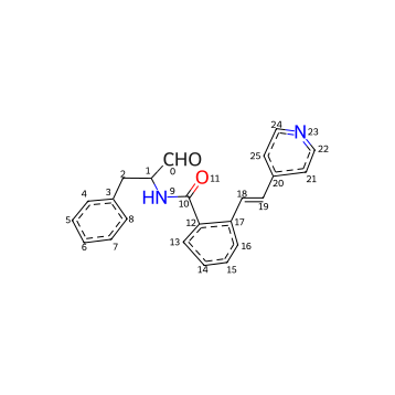 O=CC(Cc1ccccc1)NC(=O)c1ccccc1C=Cc1ccncc1